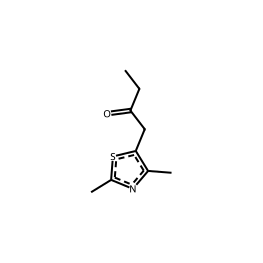 CCC(=O)Cc1sc(C)nc1C